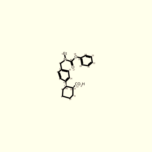 CCN(Cc1ccc([C@@H]2CCCC[C@@H]2C(=O)O)cc1)C(=O)Oc1ccccc1